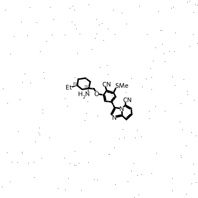 CC[C@H]1CCC[C@@](N)(COc2cc(-c3cnc4cccc(C#N)n34)cc(SC)c2C#N)C1